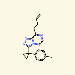 C=CCCc1nccn2c(C3(c4ccc(C)cc4)CC3)nnc12